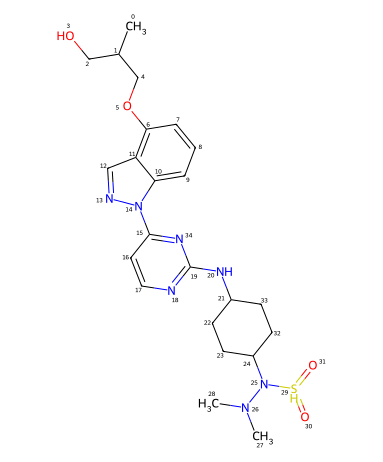 CC(CO)COc1cccc2c1cnn2-c1ccnc(NC2CCC(N(N(C)C)[SH](=O)=O)CC2)n1